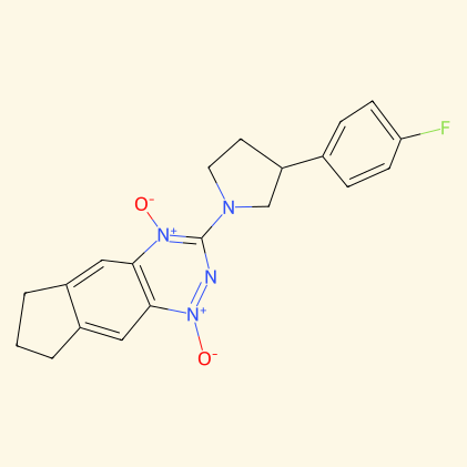 [O-][n+]1nc(N2CCC(c3ccc(F)cc3)C2)[n+]([O-])c2cc3c(cc21)CCC3